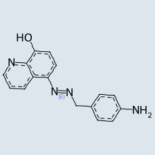 Nc1ccc(C/N=N/c2ccc(O)c3ncccc23)cc1